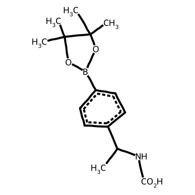 CC(NC(=O)O)c1ccc(B2OC(C)(C)C(C)(C)O2)cc1